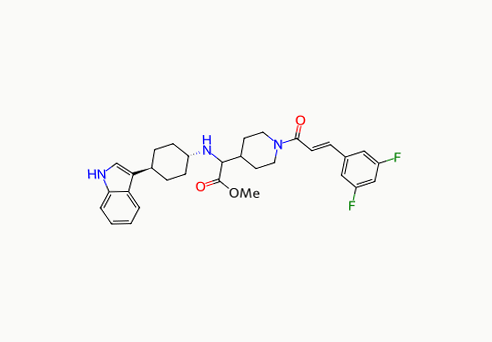 COC(=O)C(N[C@H]1CC[C@H](c2c[nH]c3ccccc32)CC1)C1CCN(C(=O)C=Cc2cc(F)cc(F)c2)CC1